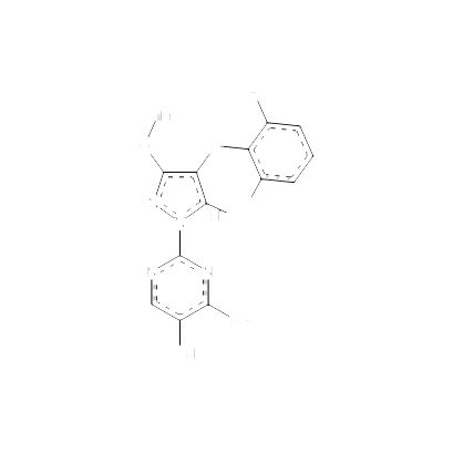 Cc1cnc(-n2nc(OC(C)C)c(Oc3c(F)cccc3F)c2C)nc1O